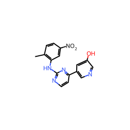 Cc1ccc([N+](=O)[O-])cc1Nc1nccc(-c2cncc(O)c2)n1